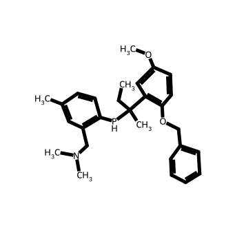 CCC(C)(Pc1ccc(C)cc1CN(C)C)c1cc(OC)ccc1OCc1ccccc1